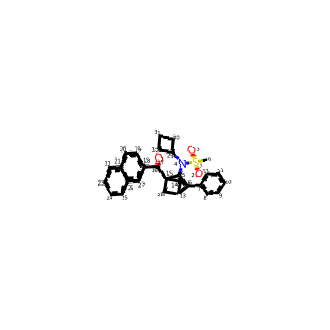 CS(=O)(=O)N(C1=C(c2ccccc2)C2CC1(C(=O)c1ccc3ccccc3c1)C2)C1CCC1